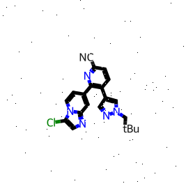 CC(C)(C)Cn1cc(-c2ccc(C#N)nc2-c2ccn3c(Cl)cnc3c2)cn1